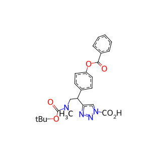 CN(CC(c1ccc(OC(=O)c2ccccc2)cc1)c1cn(C(=O)O)nn1)C(=O)OC(C)(C)C